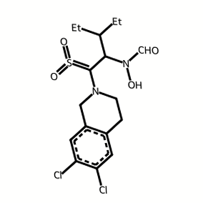 CCC(CC)C(C(N1CCc2cc(Cl)c(Cl)cc2C1)=S(=O)=O)N(O)C=O